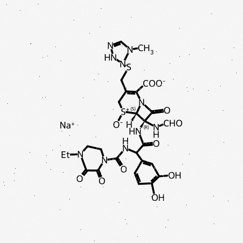 CCN1CCN(C(=O)NC(C(=O)N[C@]2(NC=O)C(=O)N3C(C(=O)[O-])=C(CSN4NN=CN4C)C[S+]([O-])[C@H]32)c2ccc(O)c(O)c2)C(=O)C1=O.[Na+]